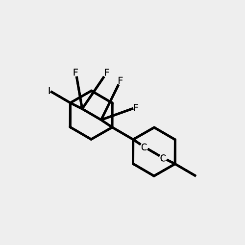 CC12CCC(C34CCC(I)(CC3)C(F)(F)C4(F)F)(CC1)CC2